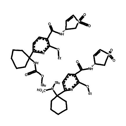 CCOc1nc(C2(N(C(=O)O)C(C)(C)C)CCCCC2)ccc1C(=O)N[C@@H]1C=CS(=O)(=O)C1.CCOc1nc(C2(NC(=O)OC(C)(C)C)CCCCC2)ccc1C(=O)N[C@@H]1C=CS(=O)(=O)C1